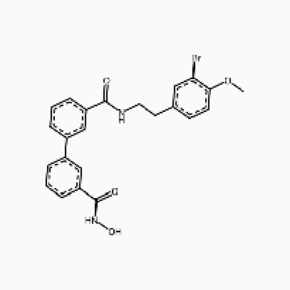 COc1ccc(CCNC(=O)c2cccc(-c3cccc(C(=O)NO)c3)c2)cc1Br